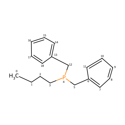 CCCCP(Cc1ccccc1)Cc1ccccc1